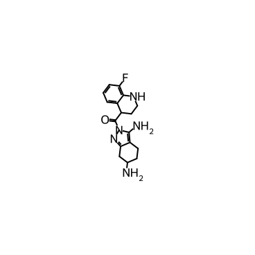 Nc1c2c(nn1C(=O)C1CCNc3c(F)cccc31)CC(N)CC2